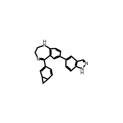 C1=CC2CC2C=C1C1=NCCNc2ccc(-c3ccc4[nH]ncc4c3)cc21